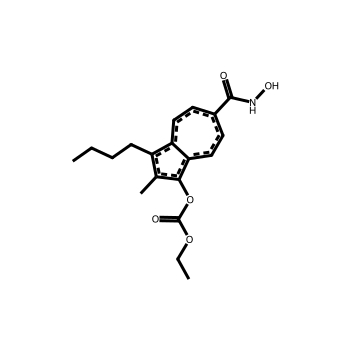 CCCCc1c2ccc(C(=O)NO)ccc-2c(OC(=O)OCC)c1C